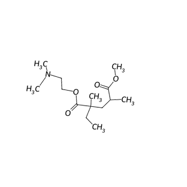 CCC(C)(CC(C)C(=O)OC)C(=O)OCCN(C)C